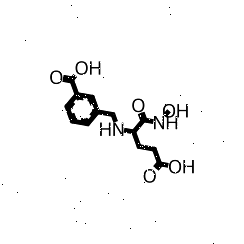 O=C(O)CCC(NCc1cccc(C(=O)O)c1)C(=O)NO